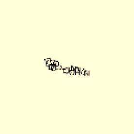 CN1CCC(N2CCN(Cc3cc(C4CCC5(CC4)OOC4(OO5)C5CC6CC(C5)CC4C6)ccc3O)CC2)CC1